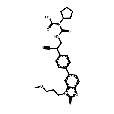 COCCCn1c(=O)oc2ccc(-c3ccc(C(C#N)CNC(=O)N(C(=O)O)C4CCCC4)cc3)cc21